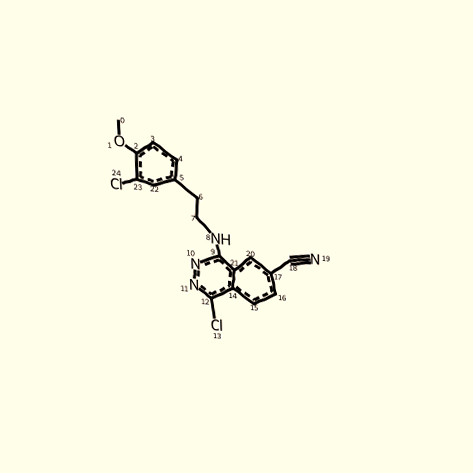 COc1ccc(CCNc2nnc(Cl)c3ccc(C#N)cc23)cc1Cl